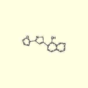 Oc1c(C2=CC(c3ccco3)=NC2)ccc2ccccc12